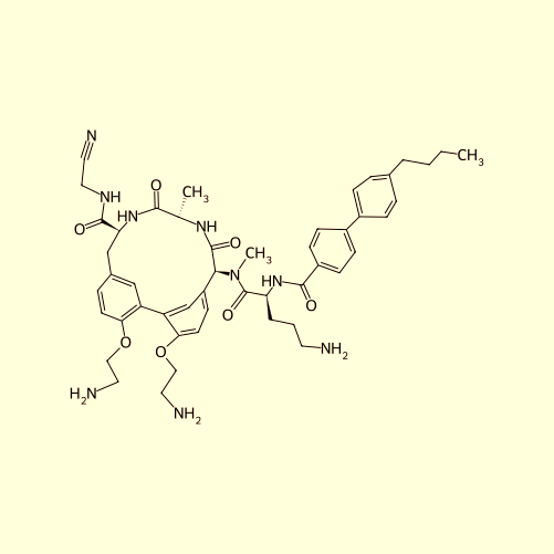 CCCCc1ccc(-c2ccc(C(=O)N[C@@H](CCCN)C(=O)N(C)[C@@H]3C(=O)N[C@@H](C)C(=O)N[C@H](C(=O)NCC#N)Cc4ccc(OCCN)c(c4)-c4cc3ccc4OCCN)cc2)cc1